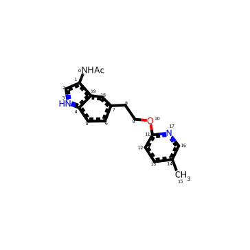 CC(=O)Nc1c[nH]c2ccc(CCOc3ccc(C)cn3)cc12